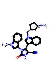 Cn1cc(-n2c(-c3cn(C[C@H]4CC[C@@H](N)C4)c4ccccc34)c(C#N)[nH]c2=O)c2ccccc21